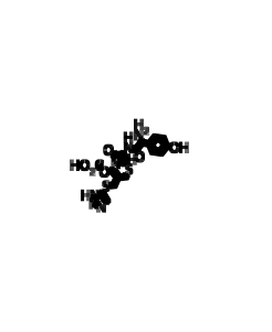 NC(C(=O)NC1C(=O)N2C(OC(=O)O)=C(CSc3cnn[nH]3)CS[C@@H]12)c1ccc(O)cc1